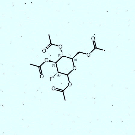 CC(=O)OC[C@H]1OC(OC(C)=O)[C@H](F)[C@@H](OC(C)=O)[C@@H]1OC(C)=O